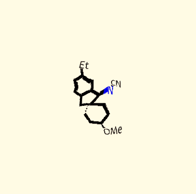 CCc1ccc2c(c1)/C(=N\C#N)[C@]1(CC[C@H](OC)CC1)C2